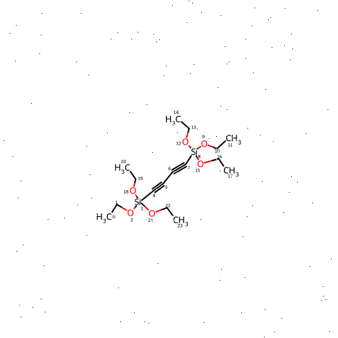 CCO[Si](C#CC#C[Si](OCC)(OCC)OCC)(OCC)OCC